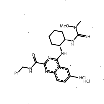 CON(C)C(=N)N[C@@H]1CCCC[C@@H]1Nc1nc(C(=O)NCC(C)C)nc2ccc(C)cc12.Cl.Cl